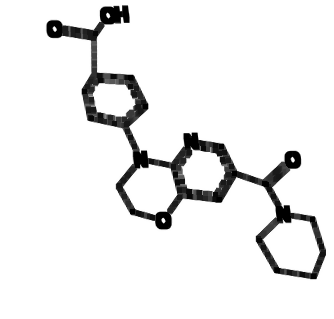 O=C(O)c1ccc(N2CCOc3cc(C(=O)N4CCCCC4)cnc32)cc1